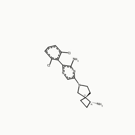 Nc1nc(N2CC[C@@]3(CC[C@H]3N)C2)cnc1-c1c(Cl)cccc1Cl